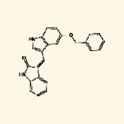 O=C1Nc2ccccc2/C1=C/c1c[nH]c2ccc(OCc3ccccc3)cc12